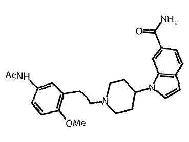 COc1ccc(NC(C)=O)cc1CCN1CCC(n2ccc3ccc(C(N)=O)cc32)CC1